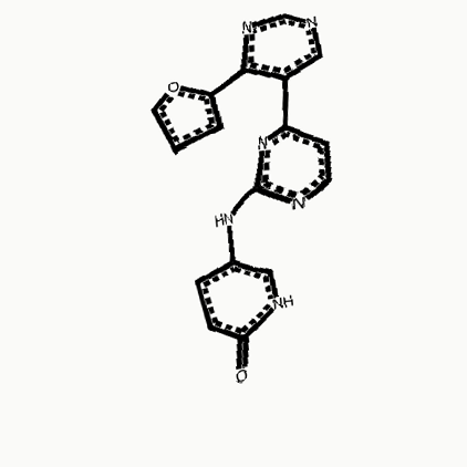 O=c1ccc(Nc2nccc(-c3cncnc3-c3ccco3)n2)c[nH]1